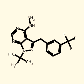 CC(C)(C)n1nc(Cc2cccc(C(F)(F)F)c2)c2c(NN)ncnc21